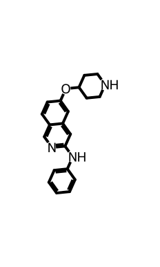 c1ccc(Nc2cc3cc(OC4CCNCC4)ccc3cn2)cc1